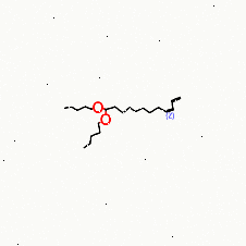 C=C/C=C\CCCCCCCC(OCCCCC)OCCCCC